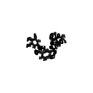 CC1(C)O[C@@H]2[C@@H](CS(=O)(=O)c3cc(C(=O)Nc4cc(F)c(F)c(F)c4)ccc3Cl)OC(=O)[C@]2(C)O1